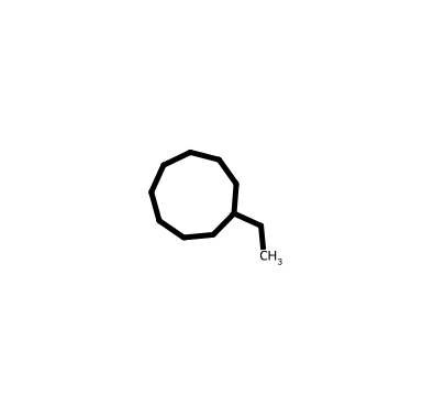 CC[C]1CCCCCCCC1